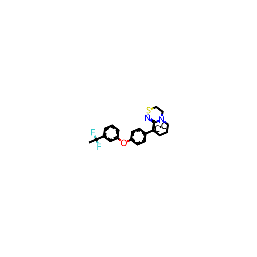 CC(F)(F)c1cccc(Oc2ccc(C34CCC(CC3)N3CCSN=C34)cc2)c1